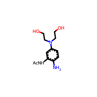 CC(=O)Nc1cc(N(CCO)CCO)ccc1N